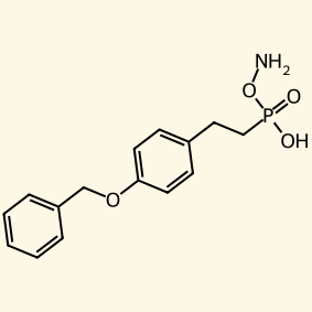 NOP(=O)(O)CCc1ccc(OCc2ccccc2)cc1